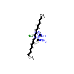 CC(N)NC(=N)N.CCCCCCCCCCCCCCCCCC.Cl